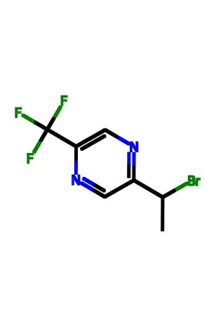 CC(Br)c1cnc(C(F)(F)F)cn1